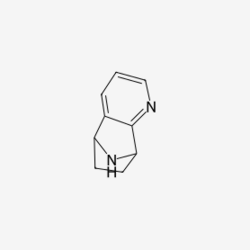 c1cnc2c(c1)C1CCC2N1